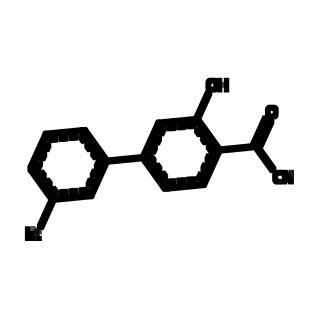 CCc1cccc(-c2ccc(C(=O)C#N)c(O)c2)c1